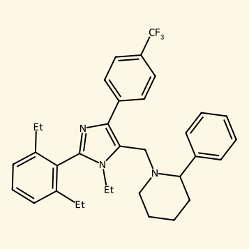 CCc1cccc(CC)c1-c1nc(-c2ccc(C(F)(F)F)cc2)c(CN2CCCCC2c2ccccc2)n1CC